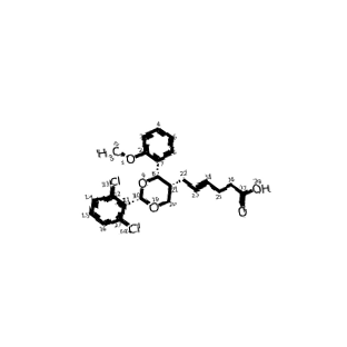 COc1ccccc1[C@H]1O[C@@H](c2c(Cl)cccc2Cl)OC[C@H]1CC=CCCC(=O)O